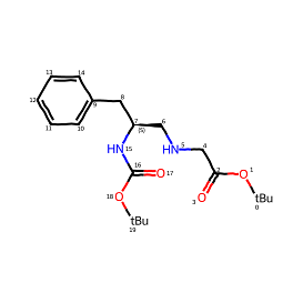 CC(C)(C)OC(=O)CNC[C@H](Cc1ccccc1)NC(=O)OC(C)(C)C